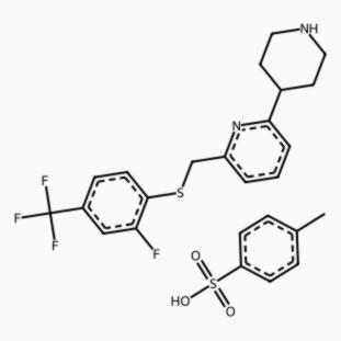 Cc1ccc(S(=O)(=O)O)cc1.Fc1cc(C(F)(F)F)ccc1SCc1cccc(C2CCNCC2)n1